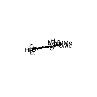 [CH2]CNC(=O)OCCCCCCCCOC(=O)NCCC[Si](O[CH2])(OC)OC